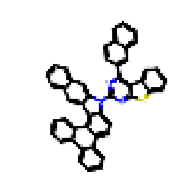 c1ccc2cc(-c3nc(-n4c5cc6ccccc6cc5c5c6c7ccccc7c7ccccc7c6ccc54)nc4sc5ccccc5c34)ccc2c1